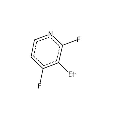 C[CH]c1c(F)ccnc1F